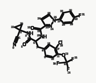 N#CC1(NC(=O)C(Cc2ccc(OC(F)(F)F)c(Cl)c2)NC(=O)c2ccn(-c3ccc(F)cc3)n2)CC1